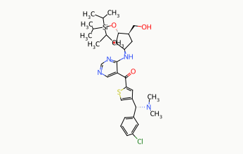 CC(C)[Si](O[C@H]1C[C@H](Nc2ncncc2C(=O)c2cc([C@@H](c3cccc(Cl)c3)N(C)C)cs2)C[C@@H]1CO)(C(C)C)C(C)C